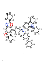 c1ccc(-c2ccc(N(c3ccc(-c4c5oc(-c6ccccc6)nc5cc5oc6ccccc6c45)cc3)c3ccc4c5ccccc5n(-c5ccccc5)c4c3)cc2)cc1